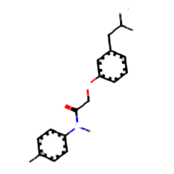 CCc1ccc(N(CC)C(=O)COc2cccc(CC(OC)C(=O)O)c2)cc1